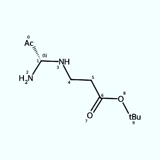 CC(=O)[C@@H](N)NCCC(=O)OC(C)(C)C